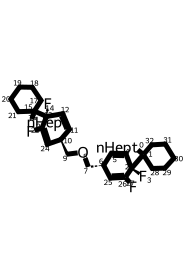 CCCCCCCC1([C@@]2(F)C=C[C@@H](COC[C@@H]3C=C[C@](F)(C4(CCCCCCC)CCCCC4)C(F)=C3)C=C2F)CCCCC1